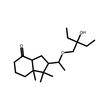 CCC(O)(CC)COC(C)C1CC2C(=O)CCCC2(C)C1(C)C